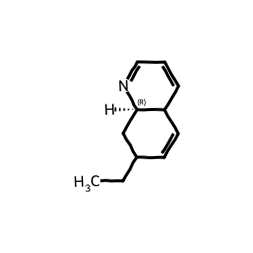 CCC1C=CC2C=CC=N[C@@H]2C1